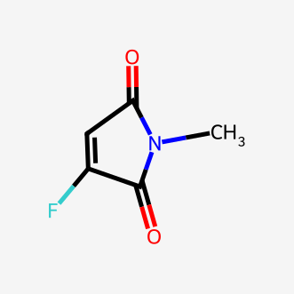 CN1C(=O)C=C(F)C1=O